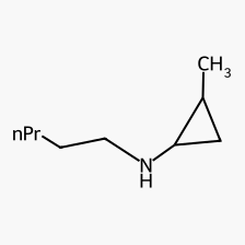 CCCCCNC1CC1C